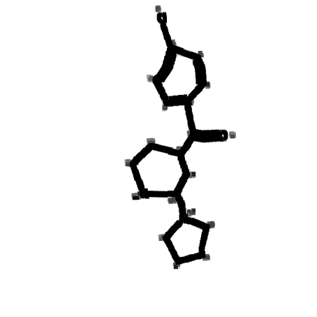 O=C(c1ccc(Cl)cc1)C1CC[N]C(N2CCCC2)C1